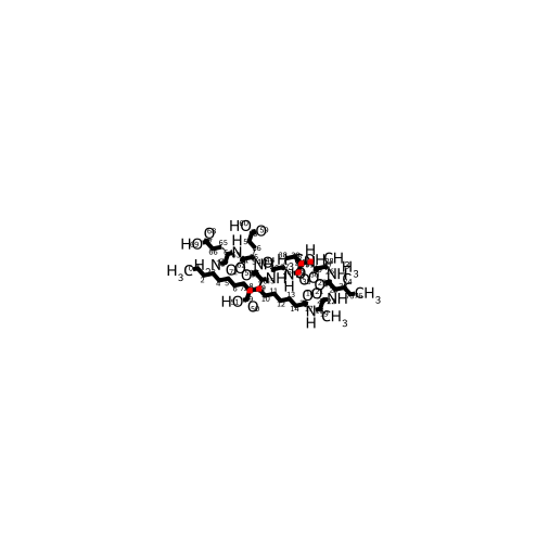 CCCCCCCCCCCCCCCC(=O)N[C@@H](C)C(=O)N[C@H](C(=O)N[C@@H](C)C(=O)N[C@@H](C)C(=O)N[C@@H](CCC(=O)O)C(=O)N[C@@H](CCC(=O)O)C(=O)N[C@@H](CCC(=O)O)C(=O)N[C@@H](CCC(=O)O)C(N)=O)[C@@H](C)CC